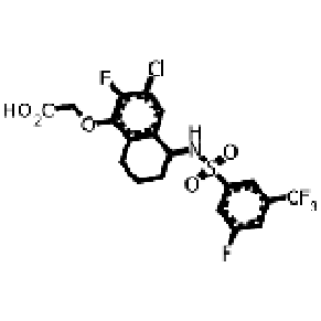 O=C(O)COc1c(F)c(Cl)cc2c1CCCC2NS(=O)(=O)c1cc(F)cc(C(F)(F)F)c1